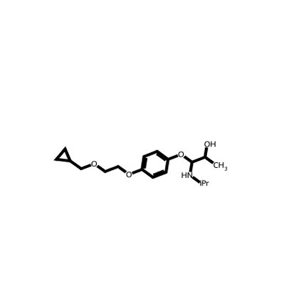 CC(C)NC(Oc1ccc(OCCOCC2CC2)cc1)C(C)O